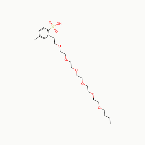 CCCCOCCOCCOCCOCCOCCOCCc1cc(C)ccc1S(=O)(=O)O